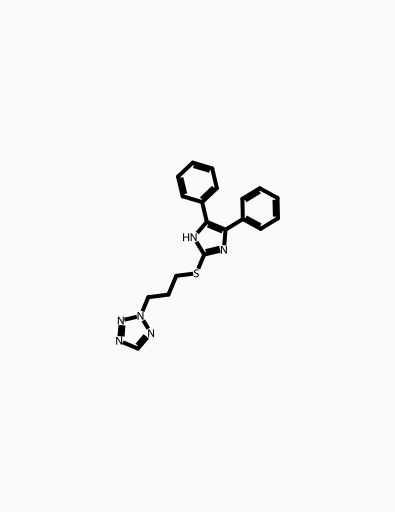 c1ccc(-c2nc(SCCCn3ncnn3)[nH]c2-c2ccccc2)cc1